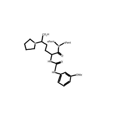 CCCCCN(CCCCC)C(=O)C(CCC(C(=O)O)N1CCCC1)NC(=O)Nc1cccc(OC)c1